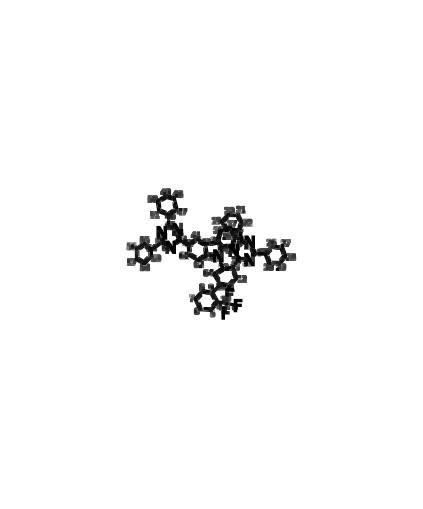 FC(F)(F)c1ccccc1-c1ccc(-c2nc(-c3ccccc3)nc(-c3ccccc3)n2)c(-n2c3ccccc3c3cc(-c4nc(-c5ccccc5)nc(-c5ccccc5)n4)ccc32)c1